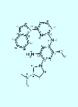 COc1cc(N2CC[C@H](N(C)C)C2)c(N)cc1Nc1nccc(-n2ccc3ccccc32)n1